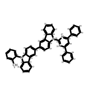 Cc1ccccc1-n1c2ccccc2c2cc(-c3ccc4c(c3)c3ccccc3n4-c3nc(-c4ccccc4)cc(-c4ccccc4)n3)ccc21